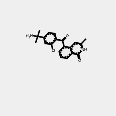 Cc1cc2c(C(=O)c3ccc(C(C)(C)N)cc3Cl)cccc2c(=O)[nH]1